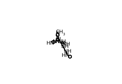 CN1CCN(c2cc(N3CCNCC3)nc(NC/C(=C/NCCCNCCNC3CCCCC3)N=N)n2)CC1